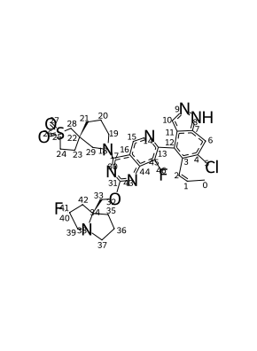 C/C=C\c1c(Cl)cc2[nH]ncc2c1-c1ncc2c(N3CCC[C@]4(CCS(=O)(=O)C4)C3)nc(OC[C@@]34CCCN3C[C@H](F)C4)nc2c1F